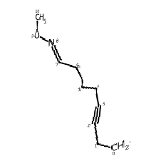 [CH2]CC#CCCCC=NOC